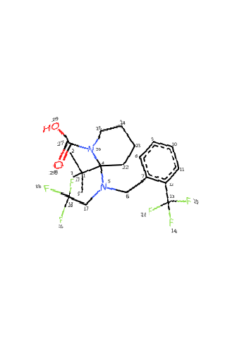 CC(C)(C)C1(N(Cc2ccccc2C(F)(F)F)CC(F)(F)F)CCCCN1C(=O)O